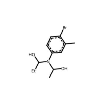 CCC(O)N(c1ccc(Br)c(C)c1)C(C)O